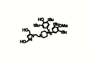 COc1c(C(C)(C)C)cc(SC2(Sc3cc(C(C)(C)C)c(O)c(C(C)(C)C)c3)CCN(CCn3nc(CO)cc3CO)CC2)cc1C(C)(C)C